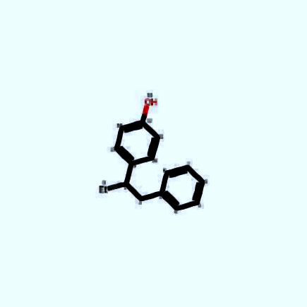 CCC(Cc1ccccc1)c1ccc(O)cc1